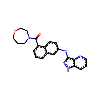 O=C(c1cccc2cc(Nc3n[nH]c4cccnc34)ccc12)N1CCCOCC1